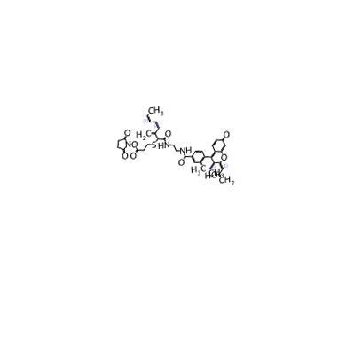 C=C(O)/C=c1/oc2cc(=O)ccc-2c(-c2ccc(C(=O)NCCNC(=O)C(SCCC(=O)ON3C(=O)CCC3=O)C(=C)/C=C\C=C/C)cc2C)/c1=C/C